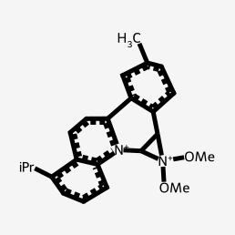 CO[N+]1(OC)C2c3ccc(C)cc3-c3ccc4c(C(C)C)cccc4[n+]3C21